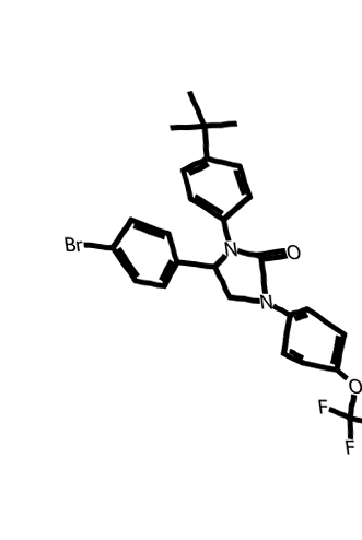 CC(C)(C)c1ccc(N2C(=O)N(c3ccc(OC(F)(F)F)cc3)CC2c2ccc(Br)cc2)cc1